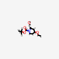 CCOC1CCN(C(=O)OC(C)(C)C)C(=C=O)C1